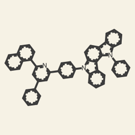 c1ccc(-c2cc(-c3ccc(-n4c5ccccc5c5c4ccc4c6ccccc6n(-c6ccccc6)c45)cc3)nc(-c3cccc4ccccc34)c2)cc1